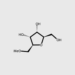 COC[C@@H]1O[C@H](CO)[C@@H](O)[C@H]1O